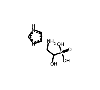 NCC(O)P(=O)(O)O.c1c[nH]cn1